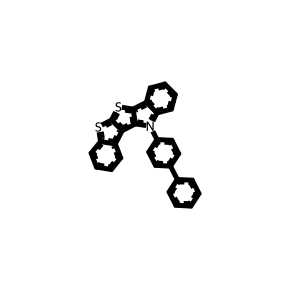 c1ccc(-c2ccc(-n3c4ccccc4c4sc5sc6ccccc6c5c43)cc2)cc1